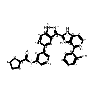 O=C(Nc1cncc(-c2cc3c(-c4nc5c(-c6ccccc6F)nccc5[nH]4)n[nH]c3cn2)c1)C1CCCC1